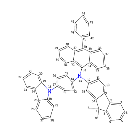 CC1(C)c2ccccc2-c2ccc(N(c3ccc(-n4c5ccccc5c5ccccc54)cc3)c3c4ccccc4c(-c4ccccc4)c4ccccc34)cc21